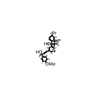 COc1ccc(C(C)(O)C#Cc2cncc([C@@](O)(c3ccc(C(C)C)cc3)C3(C)CN(C)C3)c2)cc1